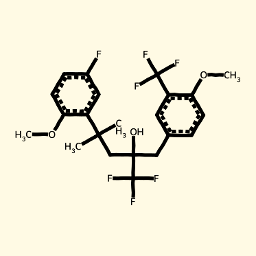 COc1ccc(CC(O)(CC(C)(C)c2cc(F)ccc2OC)C(F)(F)F)cc1C(F)(F)F